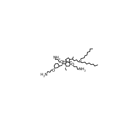 CCCCCCCCN(CCCCCCCC)CCCC(C)C1CC[C@H]2C([C@@H](CC3CCC[C@@H](OCCCN)C3)OCCCN)[C@@H](CC)C[C@H](OCCCN)C12C